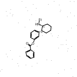 CCN[C@H]1CCCC[C@@H]1c1cccc(OC(=O)c2ccccc2)c1